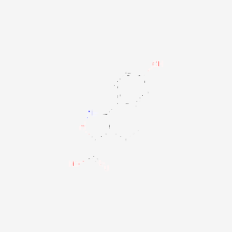 CC(C)C1C(c2ccc(O)cc2)=NOC1C(=O)O